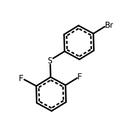 Fc1cccc(F)c1Sc1ccc(Br)cc1